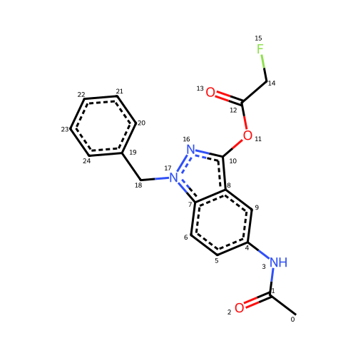 CC(=O)Nc1ccc2c(c1)c(OC(=O)CF)nn2Cc1ccccc1